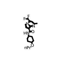 CCCOC1CCC(NC(=O)c2ccn3c(C(F)F)cc(C)nc23)CC1